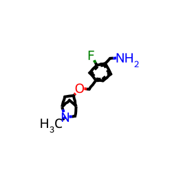 CN1CC2CC1CC2OCc1ccc(CN)c(F)c1